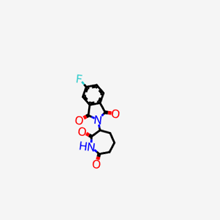 O=C1CCCC(N2C(=O)c3ccc(F)cc3C2=O)C(=O)N1